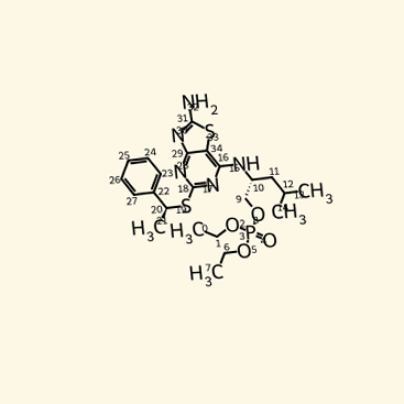 CCOP(=O)(OCC)OC[C@@H](CC(C)C)Nc1nc(S[C@@H](C)c2ccccc2)nc2nc(N)sc12